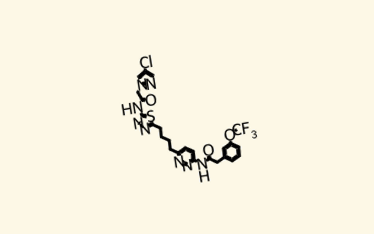 O=C(Cc1cccc(OC(F)(F)F)c1)Nc1ccc(CCCCc2nnc(NC(=O)Cn3cc(Cl)cn3)s2)nn1